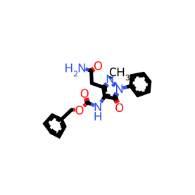 Cn1c(CC(N)=O)c(NC(=O)OCc2ccccc2)c(=O)n1-c1ccccc1